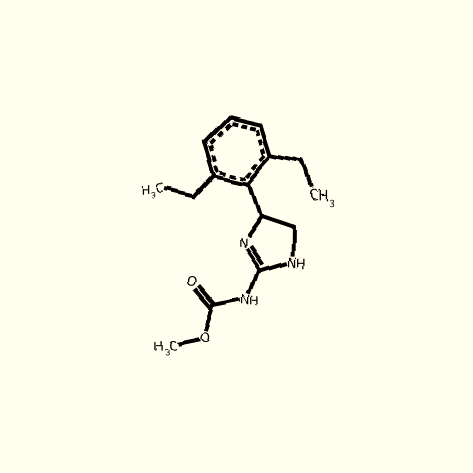 CCc1cccc(CC)c1C1CNC(NC(=O)OC)=N1